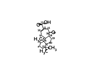 CC1(C)CCCC2(C)C3CC=C(C(=O)O)CC(=O)C3CCC12